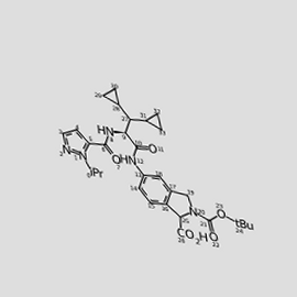 CC(C)n1nccc1C(=O)N[C@H](C(=O)Nc1ccc2c(c1)CN(C(=O)OC(C)(C)C)C2C(=O)O)C(C1CC1)C1CC1